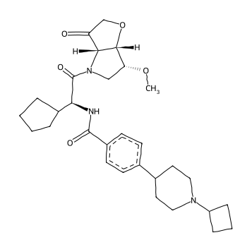 CO[C@@H]1CN(C(=O)[C@@H](NC(=O)c2ccc(C3CCN(C4CCC4)CC3)cc2)C2CCCC2)[C@@H]2C(=O)CO[C@@H]21